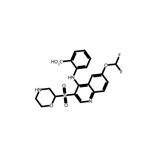 O=C(O)c1ccccc1Nc1c(S(=O)(=O)C2CNCCO2)cnc2ccc(OC(F)F)cc12